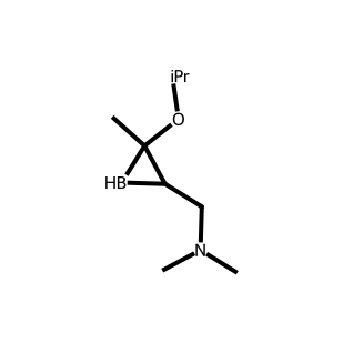 CC(C)OC1(C)BC1CN(C)C